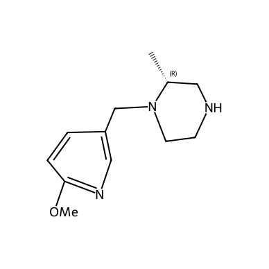 COc1ccc(CN2CCNC[C@H]2C)cn1